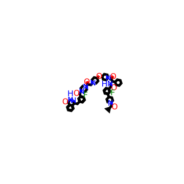 O=C(N[C@@H](C(=O)N1CCC(OC2CCN(CC(=O)N3CCN(C(=O)c4cc(Cc5n[nH]c(=O)c6ccccc56)ccc4F)CC3)CC2)CC1)C1CCCCC1)c1cccc(C2CCN(C(=O)C3CC3)CC2)c1F